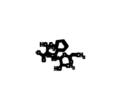 C=C(C)C([O])=O.C=CC(=O)OC(CC)C(C)O.O=C(O)c1ccccc1C(=O)O